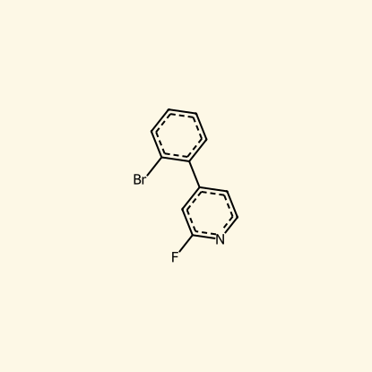 Fc1cc(-c2ccccc2Br)ccn1